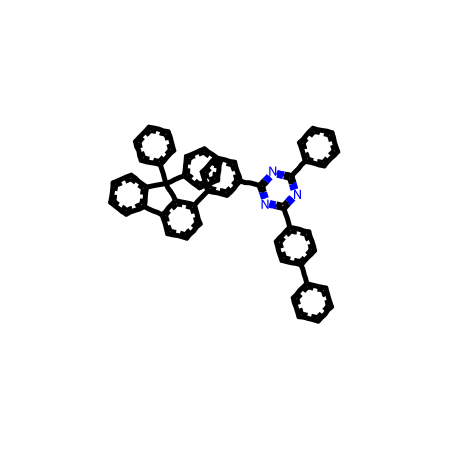 c1ccc(-c2ccc(-c3nc(-c4ccccc4)nc(-c4cccc(-c5cccc6c5C(c5ccccc5)(c5ccccc5)c5ccccc5-6)c4)n3)cc2)cc1